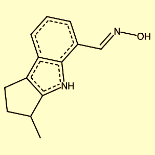 CC1CCc2c1[nH]c1c(/C=N/O)cccc21